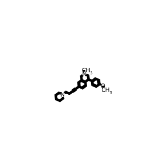 COc1ccc(C2CN(C)Cc3cc(C#CCCN4CCCCC4)ccc32)cc1